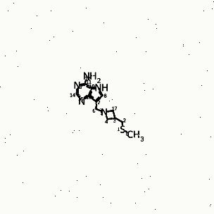 CSCC1CN(Cc2c[nH]c3c(N)ncnc23)C1